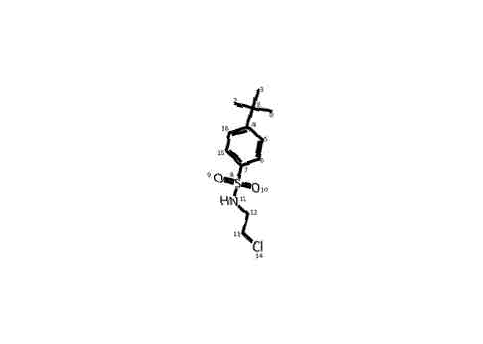 CC(C)(C)c1ccc(S(=O)(=O)NCCCl)cc1